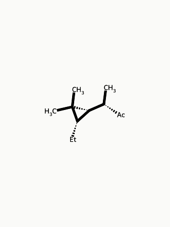 CC[C@H]1[C@@H]([C@H](C)C(C)=O)C1(C)C